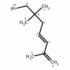 C=C(C)C=CCC(C)(C)CC(C)C